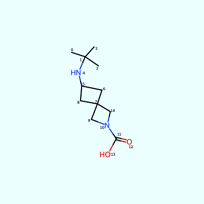 CC(C)(C)NC1CC2(C1)CN(C(=O)O)C2